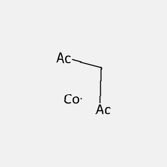 CC(=O)CC(C)=O.[Co]